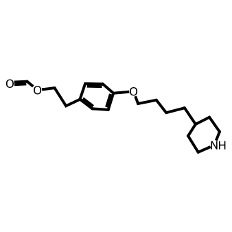 O=COCCc1ccc(OCCCCC2CCNCC2)cc1